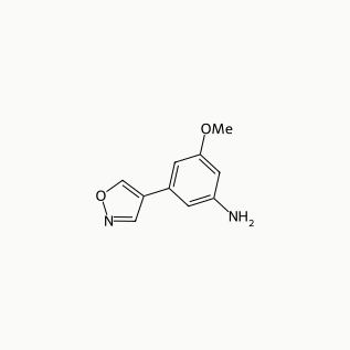 COc1cc(N)cc(-c2cnoc2)c1